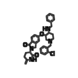 C=C1CCC(N2Cc3cc(OC4CN(Cc5ccccc5Cl)CCC4NCc4ccccc4)ccc3C2=O)C(=O)N1